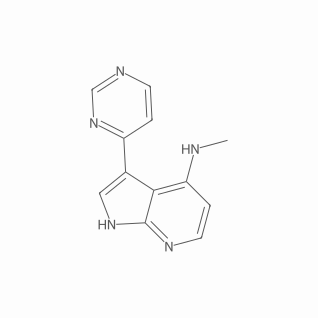 CNc1ccnc2[nH]cc(-c3ccncn3)c12